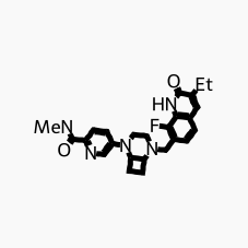 CCc1cc2ccc(CN3CCN(c4ccc(C(=O)NC)nc4)C4CCC43)c(F)c2[nH]c1=O